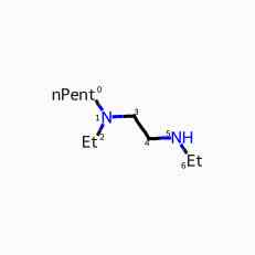 CCCCCN(CC)CCNCC